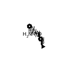 CN(c1nc(N)nc(-c2noc(-c3ccc(OCC4CC4)nc3)n2)n1)c1ccccc1F